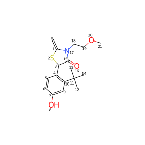 C=C1SC(c2ccc(O)cc2C(C)(C)C)C(=O)N1CCOC